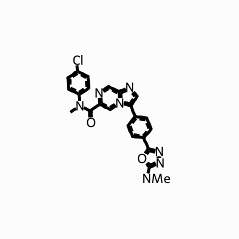 CNc1nnc(-c2ccc(-c3cnc4cnc(C(=O)N(C)c5ccc(Cl)cc5)cn34)cc2)o1